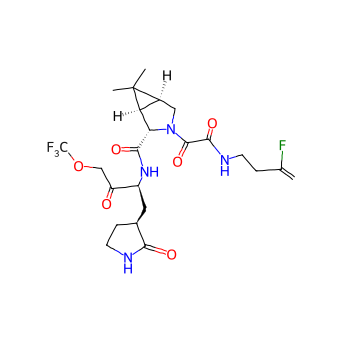 C=C(F)CCNC(=O)C(=O)N1C[C@H]2[C@@H]([C@H]1C(=O)N[C@@H](C[C@@H]1CCNC1=O)C(=O)COC(F)(F)F)C2(C)C